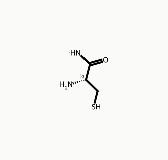 [NH]C(=O)[C@@H](N)CS